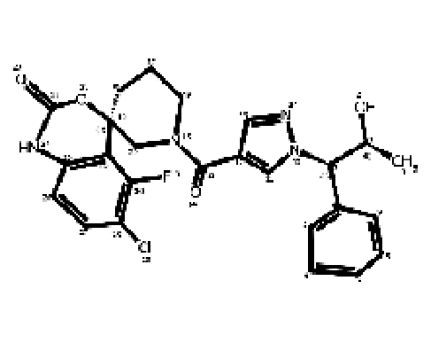 C[C@H](O)[C@@H](c1ccccc1)n1cc(C(=O)N2CCC[C@@]3(C2)OC(=O)Nc2ccc(Cl)c(F)c23)cn1